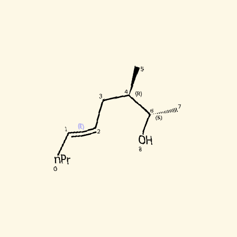 CCC/C=C/C[C@@H](C)[C@H](C)O